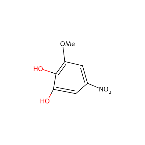 COc1cc([N+](=O)[O-])cc(O)c1O